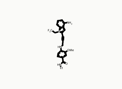 CCNC(=O)c1ccc(NCC#Cc2cc3c(N)cccc3n2CC(F)(F)F)c(OC)c1